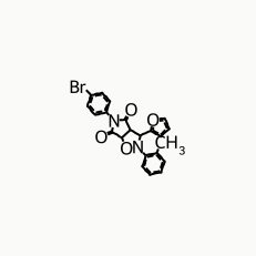 Cc1ccccc1N1OC2C(=O)N(c3ccc(Br)cc3)C(=O)C2C1c1ccco1